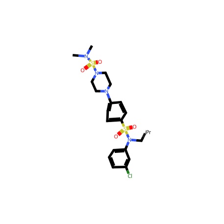 CC(C)CN(c1cccc(Cl)c1)S(=O)(=O)c1ccc(N2CCN(S(=O)(=O)N(C)C)CC2)cc1